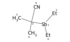 C[CH2][Sb]([CH2]C)[C](C)(C)C#N